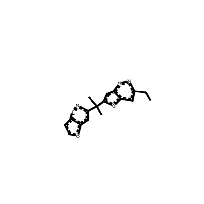 CCc1cc2oc(C(C)(C)c3cc4occc4cn3)cc2nn1